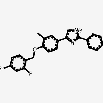 Cc1cc(-c2c[nH]c(-c3ccccc3)n2)ccc1OCc1ccc(Br)cc1F